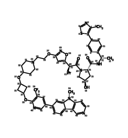 Cc1ncsc1-c1ccc([C@H](C)NC(=O)[C@@H]2C[C@@H](O)CN2C(=O)[C@H](c2cc(OCCN3CCC(OC4CC(Oc5ncc(-c6ccc7c8cnccc8n(C)c7c6)cc5C(F)(F)F)C4)CC3)no2)C(C)C)cc1